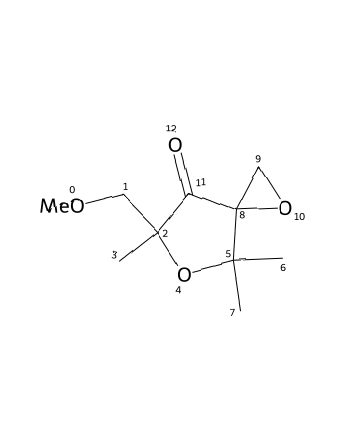 COCC1(C)OC(C)(C)C2(CO2)C1=O